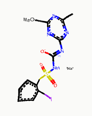 COc1nc(C)nc(/N=C(\[O-])NS(=O)(=O)c2ccccc2I)n1.[Na+]